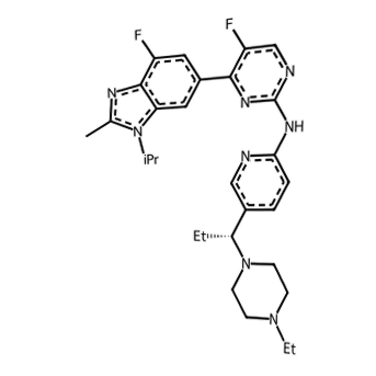 CC[C@H](c1ccc(Nc2ncc(F)c(-c3cc(F)c4nc(C)n(C(C)C)c4c3)n2)nc1)N1CCN(CC)CC1